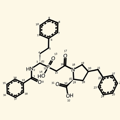 O=C(N[C@H](CCc1ccccc1)P(=O)(O)CC(=O)N1CC(Cc2ccccc2)C[C@H]1C(=O)O)c1ccccc1